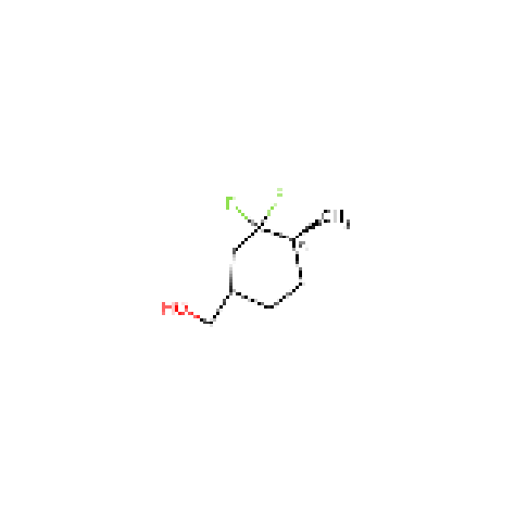 C[C@H]1CCC(CO)CC1(F)F